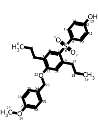 CCCc1cc(S(=O)(=O)c2ccc(O)cc2)c(CCC)cc1OCc1ccc(OC)cc1